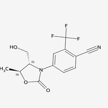 C[C@@H]1OC(=O)N(c2ccc(C#N)c(C(F)(F)F)c2)[C@H]1CO